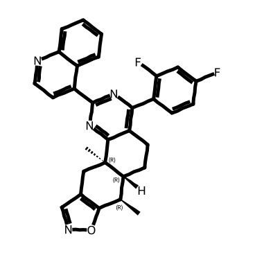 C[C@H]1c2oncc2C[C@@]2(C)c3nc(-c4ccnc5ccccc45)nc(-c4ccc(F)cc4F)c3CC[C@H]12